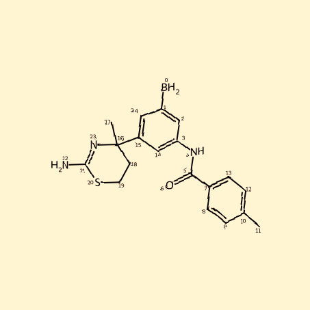 Bc1cc(NC(=O)c2ccc(C)cc2)cc(C2(C)CCSC(N)=N2)c1